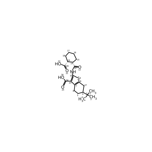 CC(C)(C)C1CCc2c(sc(NC(=O)[C@H]3CCCC[C@H]3C(=O)O)c2C(=O)O)C1